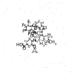 CC(C)(C)c1cc(CN(C(=O)CN(Cc2ccccc2Cl)S(=O)(=O)c2c(F)c(F)c(F)c(F)c2Cl)c2ccc(C(=O)O)cc2OC2CC2)cc(C2CC2)c1